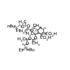 CCCCC(CC)COC(C)OC(C)OC(C)c1ccc(C(=O)O)c(C(=O)O)c1C(C)OC(C)OC(C)OCC(CC)CCCC